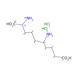 Cl.Cl.NC(CCCC(=O)O)CCCC(N)C(=O)O